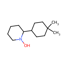 CC1(C)CCC(C2CCCCN2O)CC1